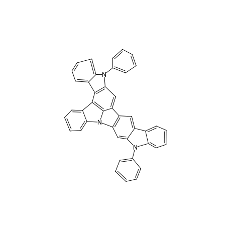 c1ccc(-n2c3ccccc3c3cc4c5cc6c(c7ccccc7n6-c6ccccc6)c6c7ccccc7n(c4cc32)c56)cc1